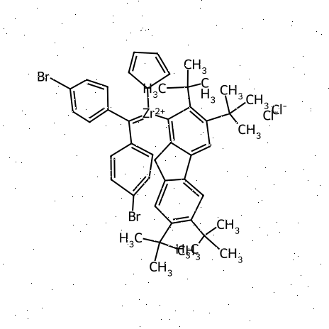 CC(C)(C)c1cc2c(cc1C(C)(C)C)-c1cc(C(C)(C)C)c(C(C)(C)C)[c]([Zr+2](=[C](c3ccc(Br)cc3)c3ccc(Br)cc3)[CH]3C=CC=C3)c1C2.[Cl-].[Cl-]